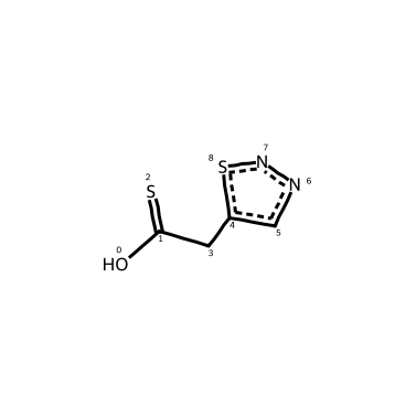 OC(=S)Cc1cnns1